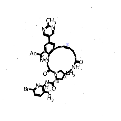 CC(=O)c1nn2c3c(cc(-c4cnc(C)nc4)cc13)C/C=C\CCC(=O)NC[C@]1(C)C[C@@H](C(=O)Nc3nc(Br)ccc3C)N(C1)C(=O)C2